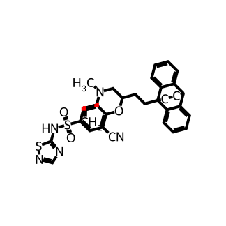 C=CCN(C)CC(CCC12CCC(c3ccccc31)c1ccccc12)Oc1ccc(S(=O)(=O)Nc2ncns2)cc1C#N